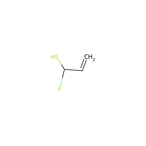 C=CC(F)S